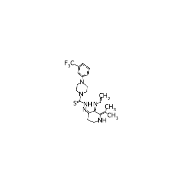 C=C/N=C1\C(=C(C)C)NCC\C1=N\NC(=S)N1CCN(c2cccc(C(F)(F)F)c2)CC1